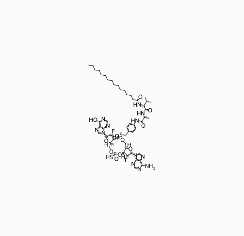 CCCCCCCCCCCCCCCC(=O)N[C@H](C(=O)N[C@@H](C)C(=O)Nc1ccc(CSP2(=O)OC[C@H]3O[C@@H](n4cnc5c(N)ncnc54)[C@H](F)[C@@H]3OP(=O)(S)OC[C@H]3O[C@@H](n4cnc5c(O)ncnc54)[C@H](F)[C@@H]32)cc1)C(C)C